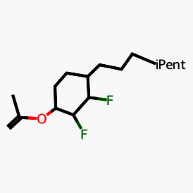 C=C(C)OC1CCC(CCCC(C)CCC)C(F)C1F